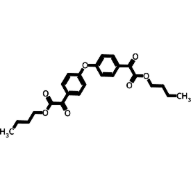 CCCCOC(=O)C(=O)c1ccc(Oc2ccc(C(=O)C(=O)OCCCC)cc2)cc1